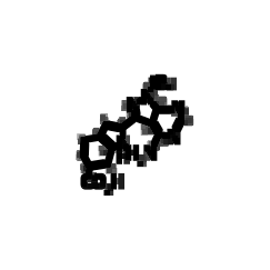 CC(C)(C)n1nc(-c2cc3ccc(C(=O)O)cc3[nH]2)c2c(N)ncnc21